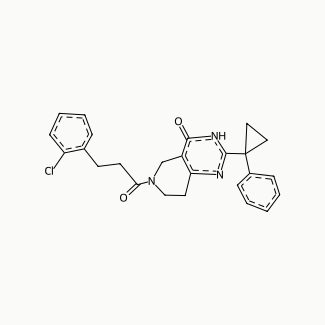 O=C(CCc1ccccc1Cl)N1CCc2nc(C3(c4ccccc4)CC3)[nH]c(=O)c2C1